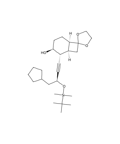 CC(C)(C)[Si](C)(C)O[C@H](C#C[C@H]1[C@@H]2CC3(OCCO3)[C@@H]2CC[C@@H]1O)CC1CCCC1